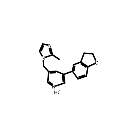 Cc1nccn1Cc1cncc(-c2ccc3c(c2)CCO3)c1.Cl